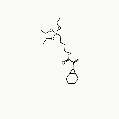 C=C(C(=O)OCCCC[Si](OCC)(OCC)OCC)C1C2CCCCC21